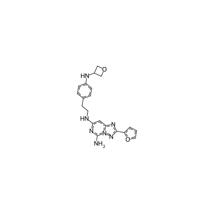 Nc1nc(NCCc2ccc(NC3COC3)cc2)cc2nc(-c3ccco3)nn12